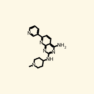 CN1CCC(Nc2nc(N)c3ccc(-c4cccnc4)nc3n2)CC1